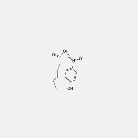 CCCCCC(=O)O.O=[N+]([O-])c1ccc(O)cc1